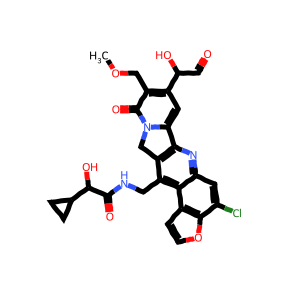 COCc1c(C(O)C=O)cc2n(c1=O)Cc1c-2nc2cc(Cl)c3occc3c2c1CNC(=O)C(O)C1CC1